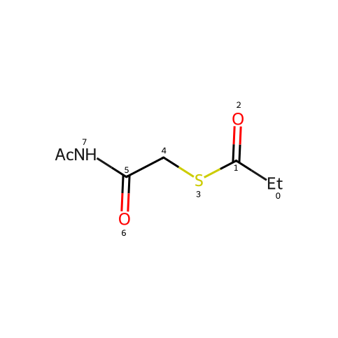 CCC(=O)SCC(=O)NC(C)=O